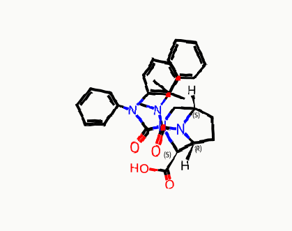 CN(C(=O)N1[C@H]2CC[C@@H]1[C@@H](C(=O)O)N(C(=O)N(c1ccccc1)c1ccccc1)C2)C(C)(C)c1ccccc1